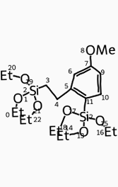 CCO[Si](CCc1cc(OC)ccc1[Si](OCC)(OCC)OCC)(OCC)OCC